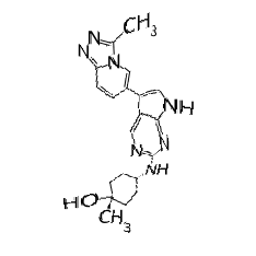 Cc1nnc2ccc(-c3c[nH]c4nc(N[C@H]5CC[C@@](C)(O)CC5)ncc34)cn12